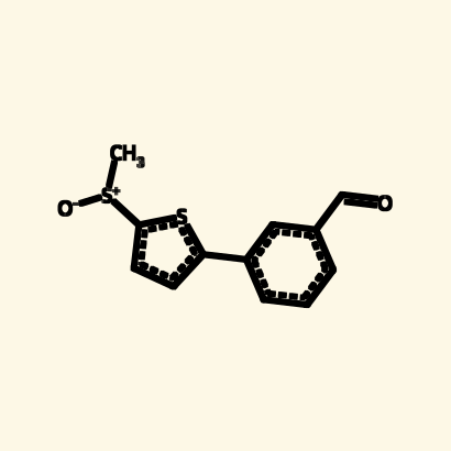 C[S+]([O-])c1ccc(-c2cccc(C=O)c2)s1